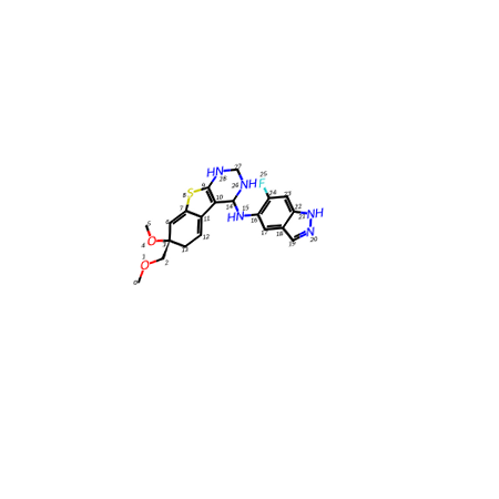 COC[C@@]1(OC)C=c2sc3c(c2=CC1)C(Nc1cc2cn[nH]c2cc1F)NCN3